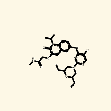 CCC1CN(c2ncc(Cl)c(Nc3ccc4c(c3)cc(OCC(=O)NC)c(=O)n4C(C)C)n2)CC(CC)O1